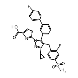 NS(=O)(=O)c1ccc(Cc2c(C3CC3)nn(-c3nc(C(=O)O)cs3)c2-c2cccc(-c3ccc(F)cc3)c2)c(F)c1